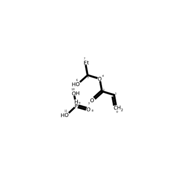 C=CC(=O)OC(O)CC.O=[PH](O)O